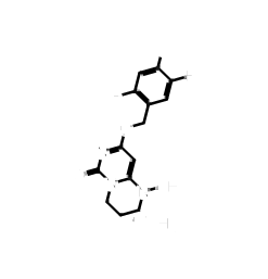 C[C@@H]1CCn2c(cc(OCc3cc(F)c(F)cc3F)nc2=O)N1C